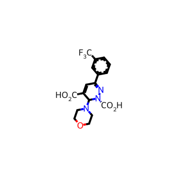 O=C(O)C1=CC(c2cccc(C(F)(F)F)c2)=NN(C(=O)O)C1N1CCOCC1